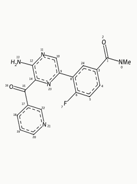 CNC(=O)c1ccc(F)c(-c2cnc(N)c(C(=O)c3cccnc3)n2)c1